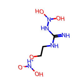 N=C(NCCO[NH+]([O-])O)NN(O)O